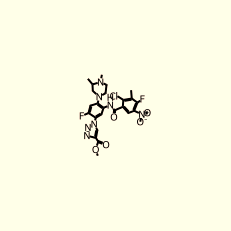 COC(=O)c1cn(-c2cc(NC(=O)c3cc([N+](=O)[O-])c(F)c(C)c3Cl)c(N3CCN(C)C(C)C3)cc2F)nn1